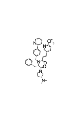 CN(C)[C@@H]1CCN(C(=O)[C@H](Cc2ccccc2)N(Cc2ccc(-c3ccccn3)cc2)C(=O)C=Cc2ccc(C(F)(F)F)nc2)C1